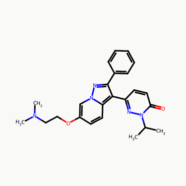 CC(C)n1nc(-c2c(-c3ccccc3)nn3cc(OCCN(C)C)ccc23)ccc1=O